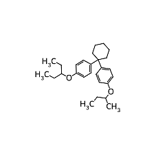 CCC(C)Oc1ccc(C2(c3ccc(OC(CC)CC)cc3)CCCCC2)cc1